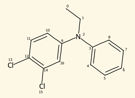 CCN(c1cc[c]cc1)c1ccc(Cl)c(Cl)c1